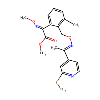 CO/N=C(/C(=O)OC)c1cccc(C)c1CO/N=C(\C)c1ccnc(SC)c1